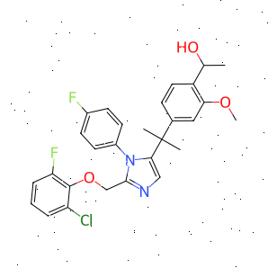 COc1cc(C(C)(C)c2cnc(COc3c(F)cccc3Cl)n2-c2ccc(F)cc2)ccc1C(C)O